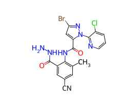 Cc1cc(C#N)cc(C(=O)NN)c1NC(=O)c1cc(Br)nn1-c1ncccc1Cl